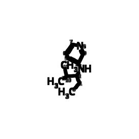 CCC(Nc1cccnc1)C(C)C